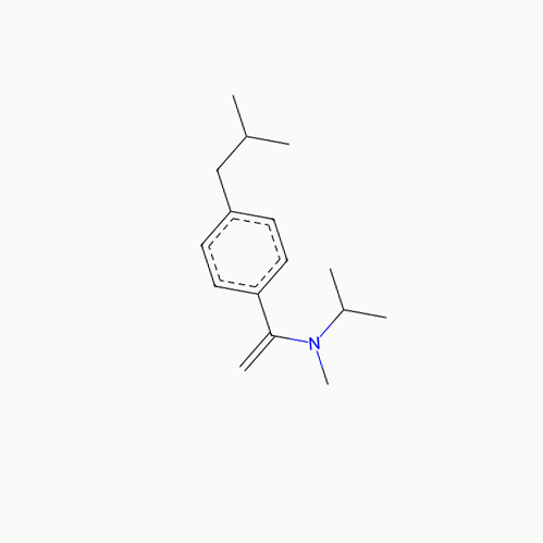 C=C(c1ccc(CC(C)C)cc1)N(C)C(C)C